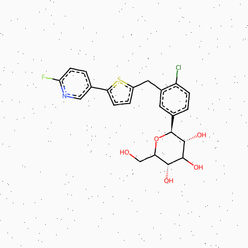 OCC1O[C@@H](c2ccc(Cl)c(Cc3ccc(-c4ccc(F)nc4)s3)c2)[C@H](O)C(O)[C@@H]1O